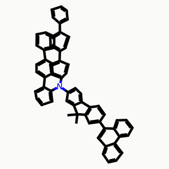 CC1(C)c2cc(-c3cc4ccccc4c4ccccc34)ccc2-c2ccc(N(c3ccc(-c4ccc(-c5ccccc5)cc4)cc3)c3ccccc3-c3ccc(-c4ccccc4)cc3)cc21